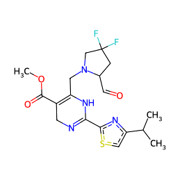 COC(=O)C1=C(CN2CC(F)(F)CC2C=O)NC(c2nc(C(C)C)cs2)=NC1